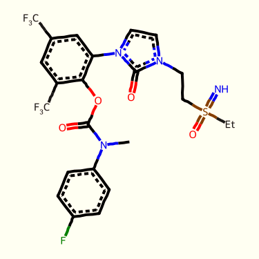 CCS(=N)(=O)CCn1ccn(-c2cc(C(F)(F)F)cc(C(F)(F)F)c2OC(=O)N(C)c2ccc(F)cc2)c1=O